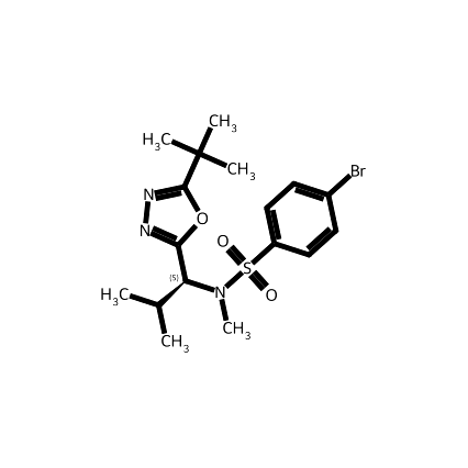 CC(C)[C@@H](c1nnc(C(C)(C)C)o1)N(C)S(=O)(=O)c1ccc(Br)cc1